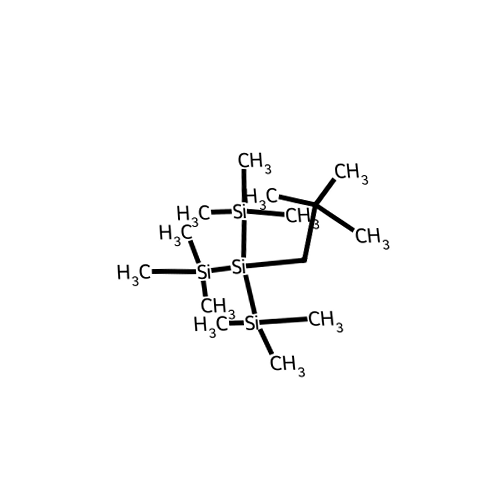 CC(C)(C)C[Si]([Si](C)(C)C)([Si](C)(C)C)[Si](C)(C)C